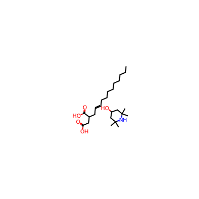 CC1(C)CC(O)CC(C)(C)N1.CCCCCCCCCC=CCC(CC(=O)O)C(=O)O